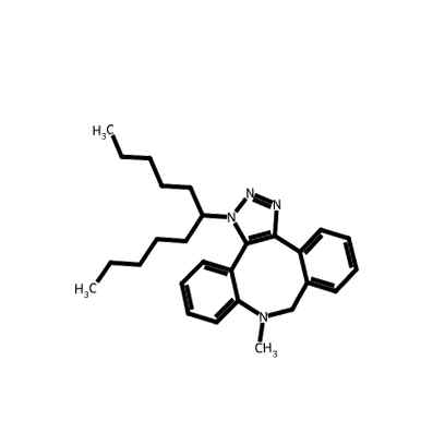 CCCCCC(CCCCC)n1nnc2c1-c1ccccc1N(C)Cc1ccccc1-2